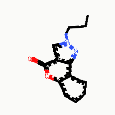 CCCn1cc2c(=O)oc3ccccc3c2n1